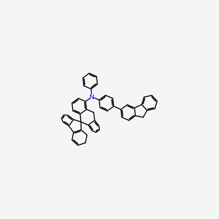 C1=CC2=C(CC1)C1(c3ccccc3Cc3c(N(c4ccccc4)c4ccc(-c5ccc6c(c5)-c5ccccc5C6)cc4)cccc31)c1ccccc12